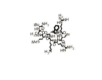 CC[C@H](C)C(NC(=O)[C@H](C)NC(=O)[C@H](CCSC)NC(=O)[C@H](Cc1c[nH]c2ccccc12)NC(=O)[C@H](CCCCN)NC(=O)[C@H](CCCNC(=N)N)NC(=O)[C@H](CC(C)C)NC(=O)[C@@H](C)CCCNC(=N)N)C(N)=O